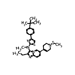 CCc1nc2ccc(C3=CCN(SC)CC3)cn2c1N(C)c1nc(-c2ccc(C(C)(C)C)cc2)cs1